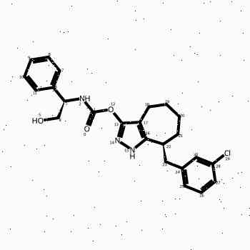 O=C(N[C@@H](CO)c1ccccc1)Oc1n[nH]c2c1CCCC[C@H]2Cc1cccc(Cl)c1